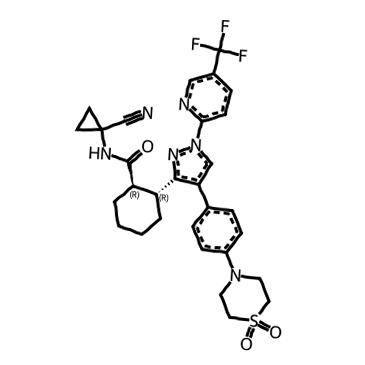 N#CC1(NC(=O)[C@@H]2CCCC[C@H]2c2nn(-c3ccc(C(F)(F)F)cn3)cc2-c2ccc(N3CCS(=O)(=O)CC3)cc2)CC1